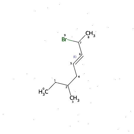 CCC(C)C/C=C/C(C)Br